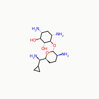 N[C@@H]1C[C@H](N)[C@@H](O[C@H]2O[C@H]([C@H](N)C3CC3)CC[C@@H]2N)[C@H](O)[C@H]1O